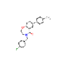 Cc1ccc(-c2ccc3c(c2)C(=O)N(Cc2ccc(F)cc2)CCO3)cc1